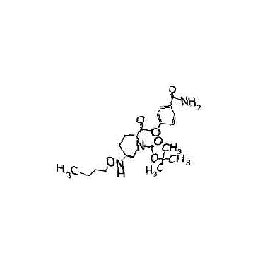 CCCCON[C@@H]1CC[C@@H](C(=O)Oc2ccc(C(N)=O)cc2)N(C(=O)OC(C)(C)C)C1